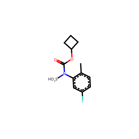 Cc1ccc(F)cc1N(C(=O)OC1CCC1)S(=O)(=O)O